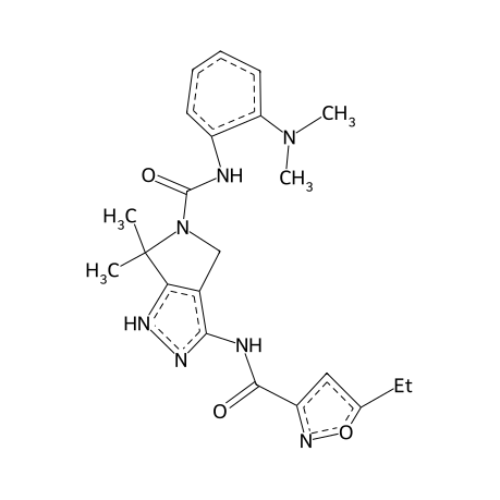 CCc1cc(C(=O)Nc2n[nH]c3c2CN(C(=O)Nc2ccccc2N(C)C)C3(C)C)no1